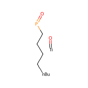 CCCCCCCCP=O.[O]=[Ti]